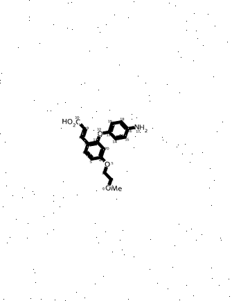 COCCOc1ccc(/C=C/C(=O)O)c(Oc2ccc(N)cc2)c1